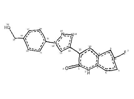 O=c1[nH]c2ccc(F)cc2cc1-c1cn(-c2ccc(CO)cc2)nn1